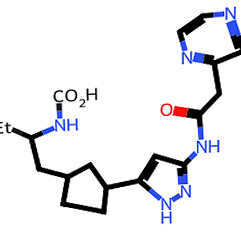 CCC(CC1CCC(c2cc(NC(=O)Cc3cnccn3)n[nH]2)C1)NC(=O)O